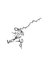 CCCCCCCCCCCCN1C(=O)C(CC(C)(C)C)C(C(C)(C)CC(C(=O)O)C(C)C(=O)OCC)C1=O